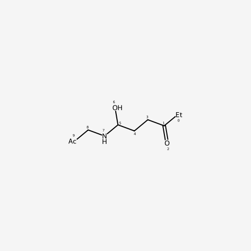 CCC(=O)CCC(O)NCC(C)=O